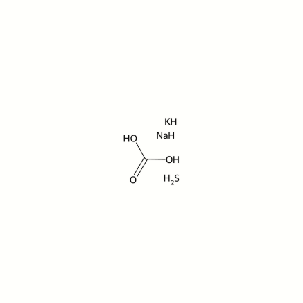 O=C(O)O.S.[KH].[NaH]